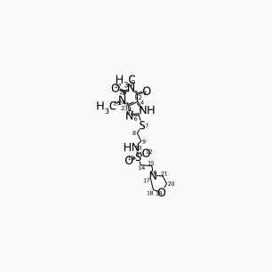 Cn1c(=O)c2[nH]c(SCCNS(=O)(=O)CCN3CCOCC3)nc2n(C)c1=O